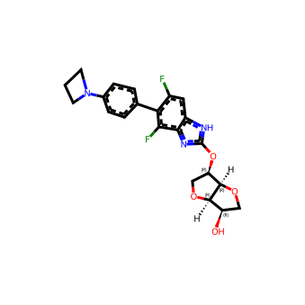 O[C@@H]1CO[C@H]2[C@@H]1OC[C@H]2Oc1nc2c(F)c(-c3ccc(N4CCC4)cc3)c(F)cc2[nH]1